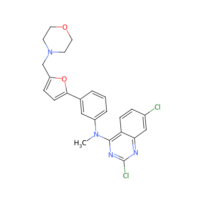 CN(c1cccc(-c2ccc(CN3CCOCC3)o2)c1)c1nc(Cl)nc2cc(Cl)ccc12